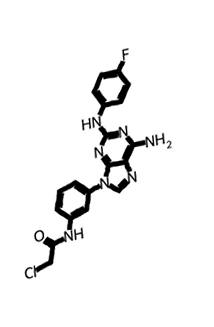 Nc1nc(Nc2ccc(F)cc2)nc2c1ncn2-c1cccc(NC(=O)CCl)c1